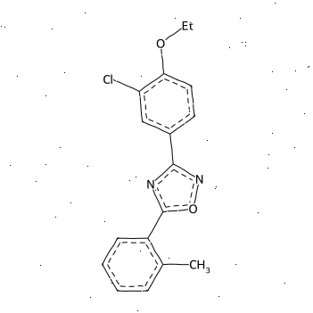 [CH2]COc1ccc(-c2noc(-c3ccccc3C)n2)cc1Cl